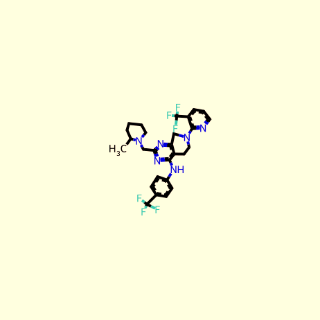 CC1CCCCN1Cc1nc2c(c(Nc3ccc(C(F)(F)F)cc3)n1)CCN(c1ncccc1C(F)(F)F)C2